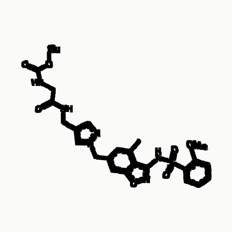 COc1ccccc1S(=O)(=O)Nc1noc2cc(Cn3cc(CNC(=O)CNC(=O)OC(C)(C)C)cn3)cc(C)c12